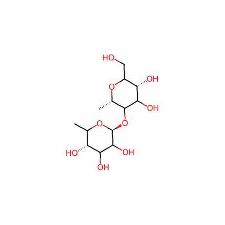 CC1O[C@@H](OC2C(O)[C@@H](O)C(CO)O[C@H]2C)C(O)C(O)[C@@H]1O